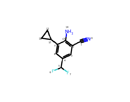 N#Cc1cc(C(F)F)cc(C2CC2)c1N